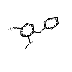 CNc1cc(N)ccc1Cc1ccccc1